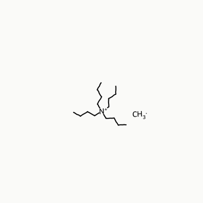 CCCC[N+](CCCC)(CCCC)CCCC.[CH3]